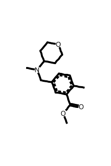 COC(=O)c1cc(CN(C)C2CCOCC2)ccc1C